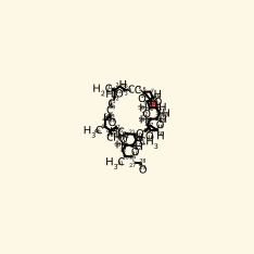 C=C1C[C@@H]2CC[C@@]34C[C@@H]5O[C@@H]6[C@@H](O[C@H]7CC[C@H](CC(=O)O[C@@H]8[C@@H](C)[C@@H]9O[C@H](CC=O)[C@H](C)C[C@@H]9O[C@H]8C[C@H]8O[C@@H](CC[C@@H]1O2)C[C@@H](C)C8=C)O[C@@H]7[C@@H]6O3)[C@H]5O4